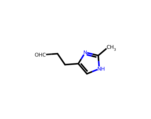 Cc1nc(CCC=O)c[nH]1